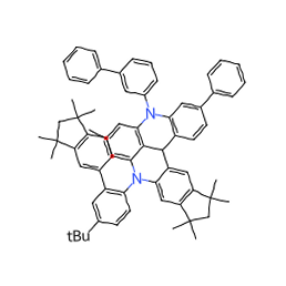 Cc1cc2c3c(c1)N(c1ccc(C(C)(C)C)cc1-c1ccc4c(c1)C(C)(C)CC4(C)C)c1cc4c(cc1C3c1ccc(-c3ccccc3)cc1N2c1cccc(-c2ccccc2)c1)C(C)(C)CC4(C)C